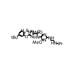 COc1nc(NCCNC(C)C)nc(OC)c1NC(=O)c1nc(Oc2cccc(C(C)(C)C)c2)n(C)n1